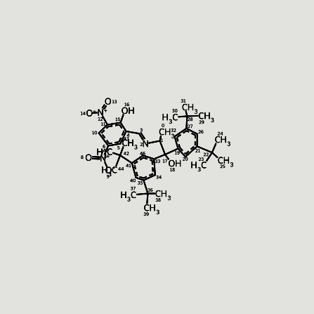 CC(N=Cc1cc([N+](=O)[O-])cc([N+](=O)[O-])c1O)C(O)(c1cc(C(C)(C)C)cc(C(C)(C)C)c1)c1cc(C(C)(C)C)cc(C(C)(C)C)c1